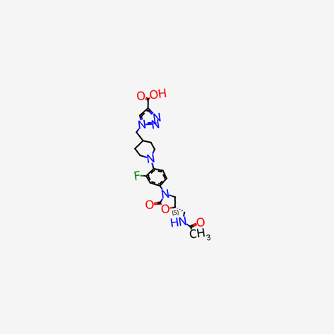 CC(=O)NC[C@H]1CN(c2ccc(N3CCC(Cn4cc(C(=O)O)nn4)CC3)c(F)c2)C(=O)O1